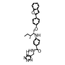 CC[C@H](C)[C@@H](COc1ccc(-c2cc3ccccc3o2)cc1)Nc1ccc(C(=O)NCc2nnn[nH]2)cc1